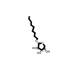 CCCCCCCCCO[C@@H]1OC[C@@H](O)[C@H](O)[C@H]1O